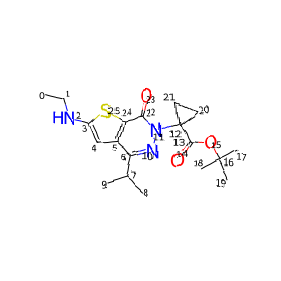 CCNc1cc2c(C(C)C)nn(C3(C(=O)OC(C)(C)C)CC3)c(=O)c2s1